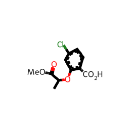 COC(=O)C(C)Oc1cc(Cl)ccc1C(=O)O